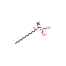 CCCCCCCCCCCCCC(=O)O[C@H](CC(C)(C)C)C[N+](C)(CCO)CCO